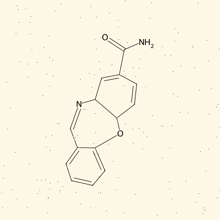 NC(=O)C1=CC2N=Cc3ccccc3OC2C=C1